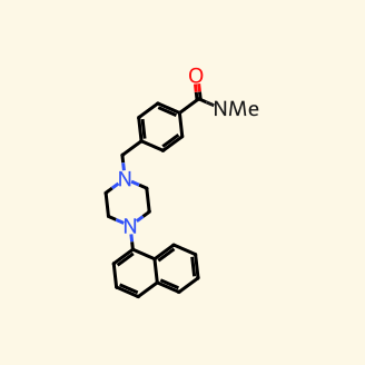 CNC(=O)c1ccc(CN2CCN(c3cccc4ccccc34)CC2)cc1